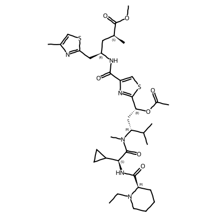 CCN1CCCC[C@@H]1C(=O)N[C@H](C(=O)N(C)[C@H](C[C@@H](OC(C)=O)c1nc(C(=O)N[C@@H](Cc2nc(C)cs2)C[C@H](C)C(=O)OC)cs1)C(C)C)C1CC1